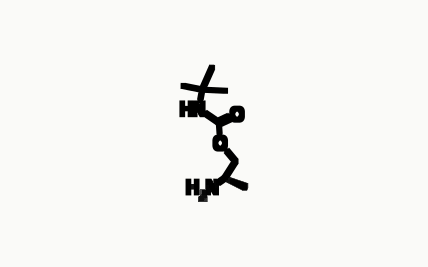 C[C@@H](N)COC(=O)NC(C)(C)C